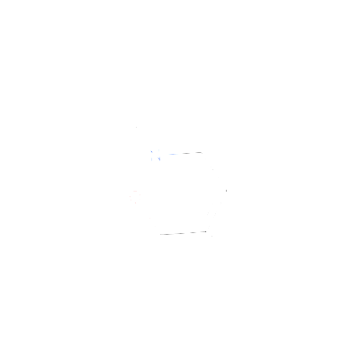 CN1CC=CCO1